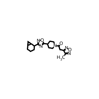 Cc1nonc1CC(=O)N1CCC(c2nc(C3CCCC4CC43)no2)CC1